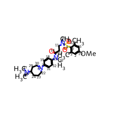 COc1cc(C)c(S(=O)(=O)N(C)CCC(=O)N(C)c2ccc(N3CCCC(N(C)C)CC3)cc2)c(C)c1